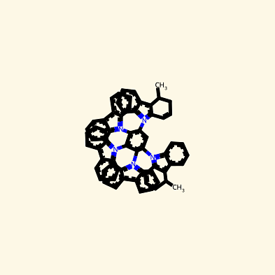 CC1CC=Cc2c1c1ccccc1n2-c1cc(-n2c3c(c4ccccc42)C(C)CC=C3)c(-n2c3ccccc3c3ccccc32)c(-n2c3ccccc3c3ccccc32)c1-n1c2ccccc2c2ccccc21